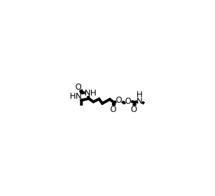 CNC(=O)OCOC(=O)CCCCC1NC(=O)NC1C